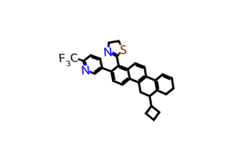 FC(F)(F)c1ccc(-c2ccc3c4c(ccc3c2C2=NCCS2)C2=C(CCC=C2)C(C2CCC2)C4)cn1